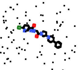 O=C(NCC(=O)N1CCC(N2CCC(c3ccccc3)CC2)C1)c1ccc(Cl)nc1